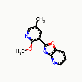 COc1ncc(C)cc1-c1nc2ncccc2o1